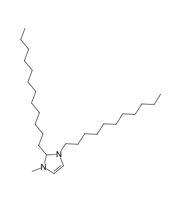 CCCCCCCCCCCCC1N(C)C=CN1CCCCCCCCCCC